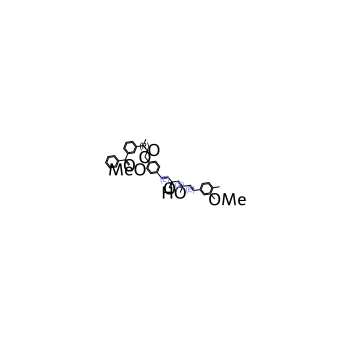 COc1cc(/C=C/C(O)=C/C(=O)/C=C/c2ccc(OC(=O)[C@H](C)c3cccc(C(=O)c4ccccc4)c3)c(OC)c2)ccc1C